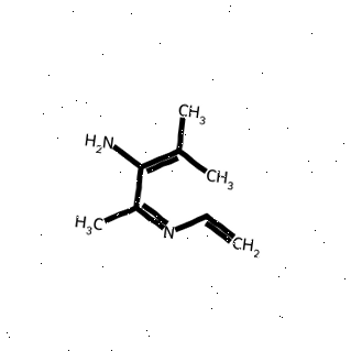 C=C/N=C(/C)C(N)=C(C)C